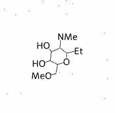 CCC1OC(COC)C(O)C(O)C1NC